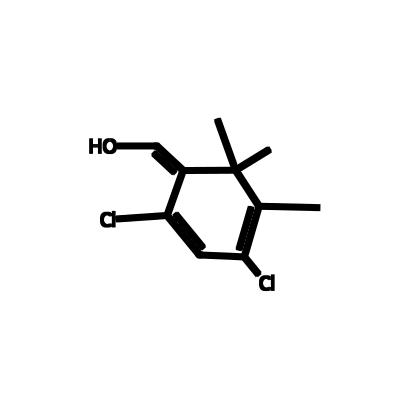 CC1=C(Cl)C=C(Cl)/C(=C\O)C1(C)C